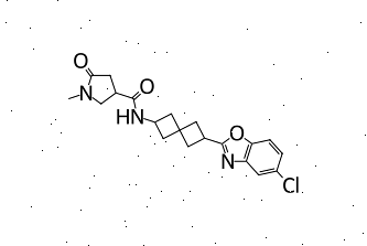 CN1CC(C(=O)NC2CC3(C2)CC(c2nc4cc(Cl)ccc4o2)C3)CC1=O